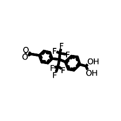 OC(O)c1ccc(C(c2ccc(C3OO3)cc2)(C(F)(F)F)C(F)(F)F)cc1